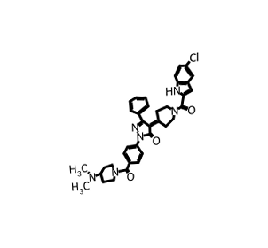 CN(C)C1CCN(C(=O)c2ccc(N3N=C(c4ccccc4)C(=C4CCN(C(=O)c5cc6cc(Cl)ccc6[nH]5)CC4)C3=O)cc2)CC1